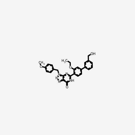 CCOc1cc(-c2cccc(CO)c2)ccc1-c1nc2c(nnn2Cc2ccc(OC)cc2)c(=O)[nH]1